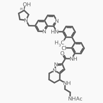 CC(=O)NCCNC1CCCn2nc(C(=O)Nc3cccc(-c4cccc(Nc5nccc6cc(CN7CC[C@@H](O)C7)cnc56)c4C)c3Cl)cc21